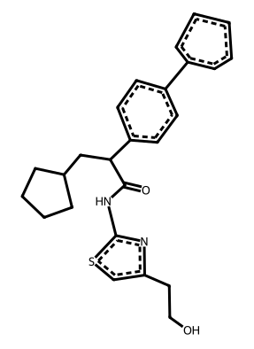 O=C(Nc1nc(CCO)cs1)C(CC1CCCC1)c1ccc(-c2ccccc2)cc1